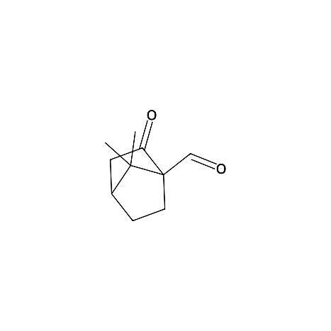 CC1(C)C2CCC1(C=O)C(=O)C2